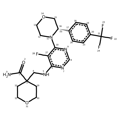 NC(=O)C1(CNc2ncnc(N3CCOC[C@@H]3c3ccc(C(F)(F)F)cc3)c2F)CCOCC1